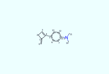 C=C1CC=C1c1ccc(N(C)C)cc1